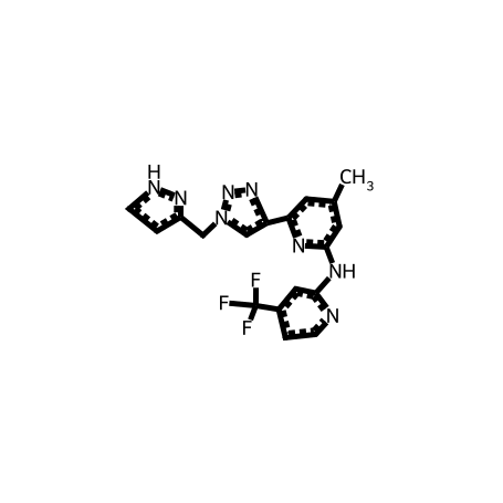 Cc1cc(Nc2cc(C(F)(F)F)ccn2)nc(-c2cn(Cc3cc[nH]n3)nn2)c1